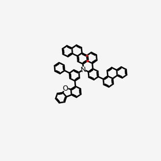 c1ccc(-c2cc(-c3cccc4c3oc3ccccc34)cc(N(c3ccc4ccc5ccccc5c4c3)c3ccc(-c4cccc5c4ccc4ccccc45)cc3-c3ccccc3)c2)cc1